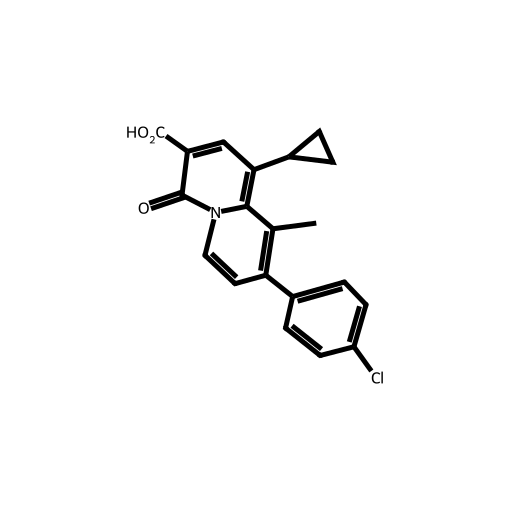 Cc1c(-c2ccc(Cl)cc2)ccn2c(=O)c(C(=O)O)cc(C3CC3)c12